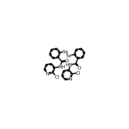 O=C(Nc1cccnc1Cl)c1ccccc1[Se][Se]c1ccccc1C(=O)Nc1cccnc1Cl